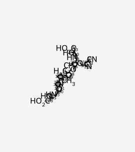 Cc1c(COc2cc(OCc3cncc(C#N)c3)c(CNCC(O)CC(=O)O)cc2Cl)cccc1-c1cccc(-c2ccc3cc(CNCC(O)CC(=O)O)ccc3n2)c1C